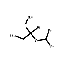 CCC(CC)OC(CC)(CC(C)(C)C)OC(C)(C)C